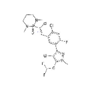 CN1CCCN(C)P1(=O)/C(Cl)=C/c1cc(-c2nn(C)c(OC(F)F)c2Cl)c(F)cc1Cl